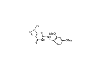 COc1ccc(CNc2nc3c(cnn3C(C)C)c(=O)[nH]2)c(OC)c1